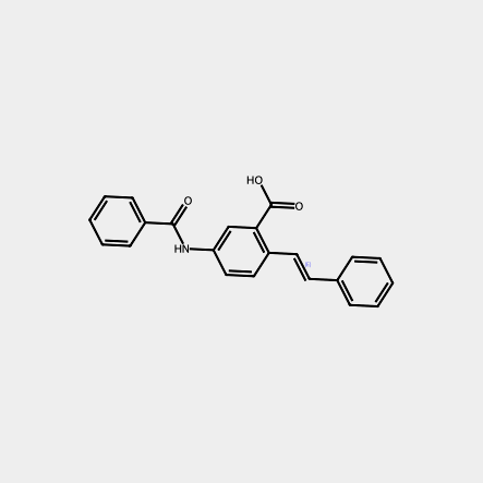 O=C(Nc1ccc(/C=C/c2ccccc2)c(C(=O)O)c1)c1ccccc1